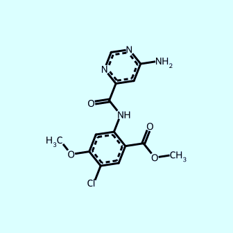 COC(=O)c1cc(Cl)c(OC)cc1NC(=O)c1cc(N)ncn1